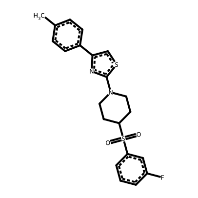 Cc1ccc(-c2csc(N3CCC(S(=O)(=O)c4cccc(F)c4)CC3)n2)cc1